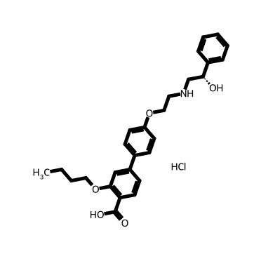 CCCCOc1cc(-c2ccc(OCCNC[C@@H](O)c3ccccc3)cc2)ccc1C(=O)O.Cl